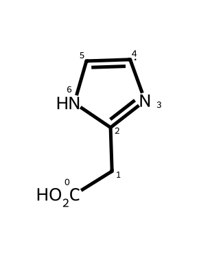 O=C(O)Cc1n[c]c[nH]1